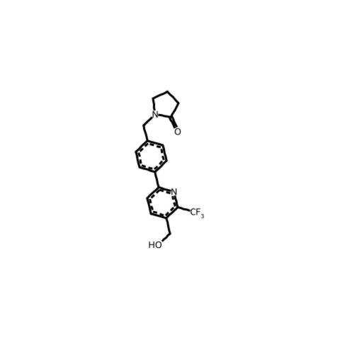 O=C1CCCN1Cc1ccc(-c2ccc(CO)c(C(F)(F)F)n2)cc1